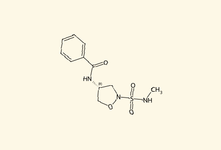 CNS(=O)(=O)N1C[C@@H](NC(=O)c2ccccc2)CO1